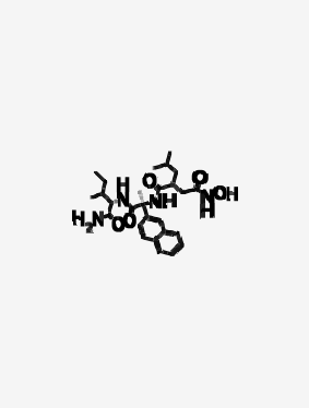 CCC(C)[C@H](NC(=O)[C@@](C)(NC(=O)C(CC(=O)NO)CC(C)C)c1ccc2ccccc2c1)C(N)=O